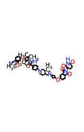 CCN(CC1CCN(c2ccc(C(=O)NC3C(C)(C)C(Oc4ccc(C#N)c(OC)c4)C3(C)C)cc2)CC1)C1CC(Oc2ccc3c(c2)C(=O)N([C@@H]2CCC(=O)NC2=O)C3=O)C1